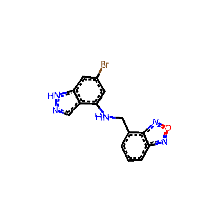 Brc1cc(NCc2cccc3nonc23)c2cn[nH]c2c1